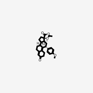 COc1ccc([C@H]2C[C@@]3(C)[C@@H](CC[C@]3(OC(C)=O)C(C)=O)[C@@H]3CCC4=CC(=O)CCC4=C32)cc1